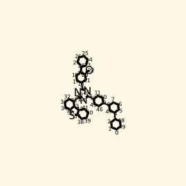 c1ccc(-c2cccc(-c3ccc(-c4nc(-c5ccc6c(c5)oc5ccccc56)nc(-c5cccc6sc7ccccc7c56)n4)cc3)c2)cc1